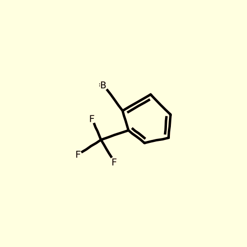 [B]c1ccccc1C(F)(F)F